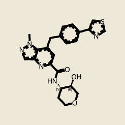 Cn1ncc2nc(C(=O)N[C@H]3CCOC[C@@H]3O)cc(Cc3ccc(-c4cscn4)cc3)c21